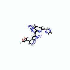 c1cnc(-c2ccc3[nH]nc(-c4cc5c(-c6ccoc6)ccnc5[nH]4)c3n2)cn1